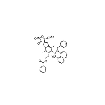 COC(=O)C1(C(=O)OC)Cc2c(C)c(CCOC(=O)c3ccccc3)c(B3Nc4cccc5cccc(c45)N3Cc3ccccc3)c(C)c2C1